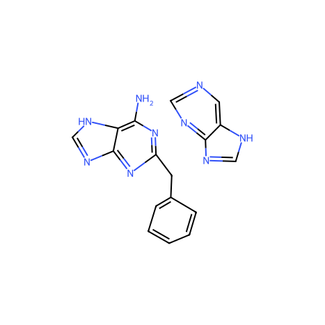 Nc1nc(Cc2ccccc2)nc2nc[nH]c12.c1ncc2[nH]cnc2n1